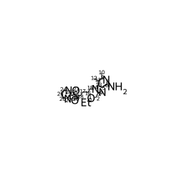 CCOCc1nc2c(N)nc(C)c(C)c2n1CCCCS(=O)(=O)c1ncccn1